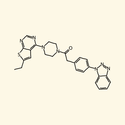 CCc1cc2c(N3CCN(C(=O)Cc4ccc(-n5nnc6ccccc65)cc4)CC3)ncnc2s1